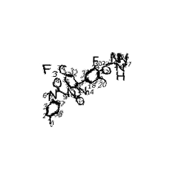 Cc1ccc(N(C)C(=O)Cn2c(=O)n(C)c3c(-c4cc(C)c(OCc5nnc[nH]5)c(F)c4)cc(C(F)(F)F)cc32)cc1